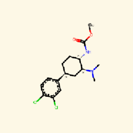 CN(C)[C@H]1C[C@@H](c2ccc(Cl)c(Cl)c2)CC[C@@H]1NC(=O)OC(C)(C)C